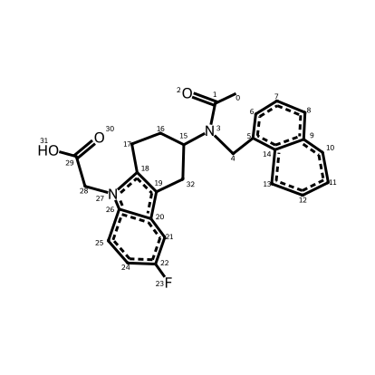 CC(=O)N(Cc1cccc2ccccc12)C1CCc2c(c3cc(F)ccc3n2CC(=O)O)C1